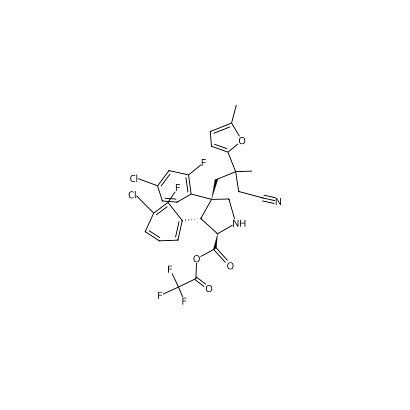 Cc1ccc(C(C)(CC#N)C[C@@]2(c3ccc(Cl)cc3F)CN[C@@H](C(=O)OC(=O)C(F)(F)F)[C@@H]2c2cccc(Cl)c2F)o1